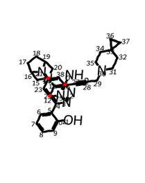 Nc1nnc(-c2ccccc2O)cc1N1CC2CCC(C1)N2c1ccnc(C#CCN2CCC3(CC2)CC3)c1